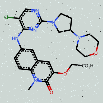 Cn1c(=O)c(OCC(=O)O)cc2cc(Nc3nc(N4CCC(N5CCOCC5)C4)ncc3Cl)ccc21